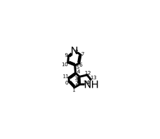 c1cc2c(c(-c3ccncc3)c1)CCN2